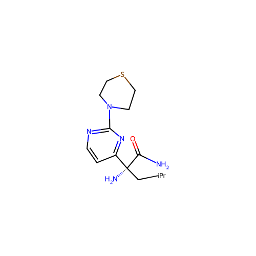 CC(C)C[C@](N)(C(N)=O)c1ccnc(N2CCSCC2)n1